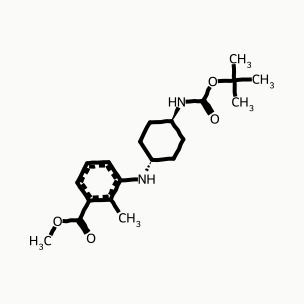 COC(=O)c1cccc(N[C@H]2CC[C@H](NC(=O)OC(C)(C)C)CC2)c1C